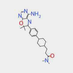 CN(C)C(=O)CCC1CCC(c2ccc(C3=Nc4c(N)ncnc4OC3(C)C)cc2)CC1